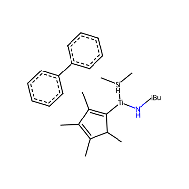 CCC(C)[NH][Ti]([C]1=C(C)C(C)=C(C)C1C)[SiH](C)C.c1ccc(-c2ccccc2)cc1